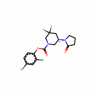 O=C(Oc1ccc(Cl)cc1F)N1C[C@H](N2CCCC2=O)CC(F)(F)C1